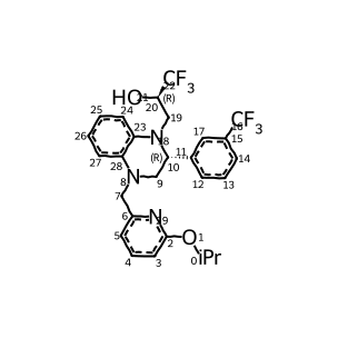 CC(C)Oc1cccc(CN2C[C@@H](c3cccc(C(F)(F)F)c3)N(C[C@@H](O)C(F)(F)F)c3ccccc32)n1